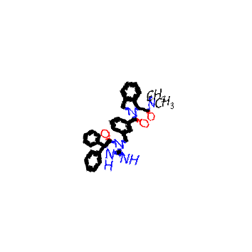 CN(C)C(=O)C1c2ccccc2CN1C(=O)c1cccc(CN2C(=N)NC(c3ccccc3)(c3ccccc3)C2=O)c1